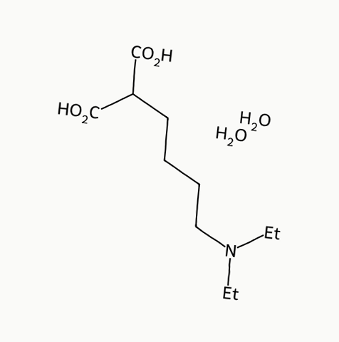 CCN(CC)CCCCC(C(=O)O)C(=O)O.O.O